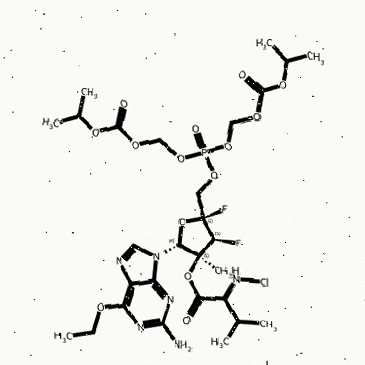 CCOc1nc(N)nc2c1ncn2[C@@H]1O[C@](F)(COP(=O)(OCOC(=O)OC(C)C)OCOC(=O)OC(C)C)[C@@H](F)[C@@]1(C)OC(=O)C(NCl)C(C)C